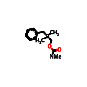 CNC(=O)OC[Si](C)(C)Cc1ccccc1